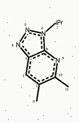 Cc1cc2nnn(C(C)C)c2nc1C